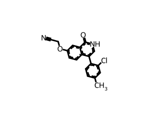 Cc1ccc(-c2c[nH]c(=O)c3cc(OCC#N)ccc23)c(Cl)c1